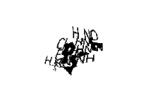 C[C@@H](NC(=O)C(CC1CC1)NC(=O)CNc1cnccc1C(=N)C(N)=O)c1cccc(Cl)c1F